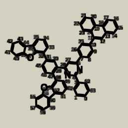 c1ccc(-c2nc(-c3ccc(-c4cc5ccccc5c5ccccc45)cc3)cc(-c3cc(-c4cccc5c4oc4ccccc45)ccc3-c3cccc4c3oc3ccccc34)n2)cc1